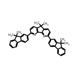 CC1(C)c2ccccc2-c2ccc(-c3ccc4c(n3)-c3nc(-c5ccc6c(c5)C(C)(C)c5ccccc5-6)ccc3C4(C)C)cc21